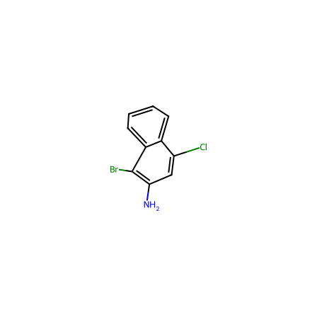 Nc1cc(Cl)c2ccccc2c1Br